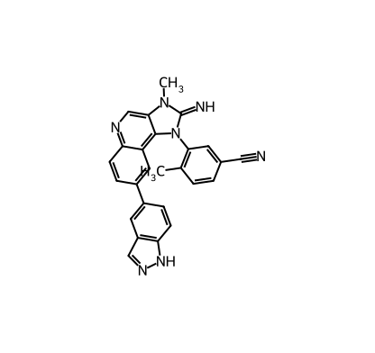 Cc1ccc(C#N)cc1-n1c(=N)n(C)c2cnc3ccc(-c4ccc5[nH]ncc5c4)cc3c21